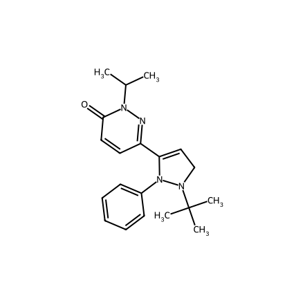 CC(C)n1nc(C2=CCN(C(C)(C)C)N2c2ccccc2)ccc1=O